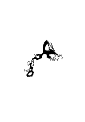 N=Cc1c(-c2cnc(CNC(=O)c3cc4c([nH]3)CCCC4)c(F)c2)ccnc1N